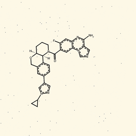 Nc1nc2cc(F)c(C(=O)N3CCC[C@@H]4OCc5cc(-c6cnn(C7CC7)c6)ccc5[C@@H]43)cc2n2cncc12